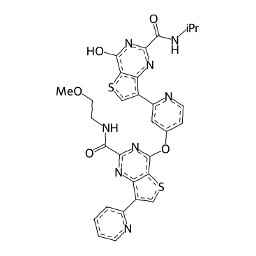 COCCNC(=O)c1nc(Oc2ccnc(-c3csc4c(O)nc(C(=O)NC(C)C)nc34)c2)c2scc(-c3ccccn3)c2n1